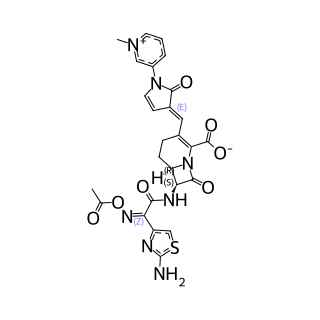 CC(=O)O/N=C(\C(=O)N[C@@H]1C(=O)N2C(C(=O)[O-])=C(/C=C3\C=CN(c4ccc[n+](C)c4)C3=O)CC[C@H]12)c1csc(N)n1